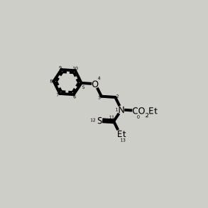 CCOC(=O)N(CCOc1ccccc1)C(=S)CC